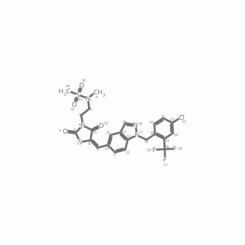 CN(CCN1C(=O)SC(=Cc2ccc3c(cnn3Cc3ccc(Cl)cc3C(F)(F)F)c2)C1=O)S(C)(=O)=O